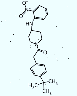 CC(C)(C)c1ccc(CC(=O)N2CCC(Nc3ccccc3[N+](=O)[O-])CC2)cc1